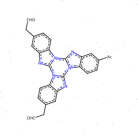 CC(=O)c1ccc2c(c1)nc1n3c4ccc(CC=O)cc4nc3n3c4ccc(CC=O)cc4nc3n21